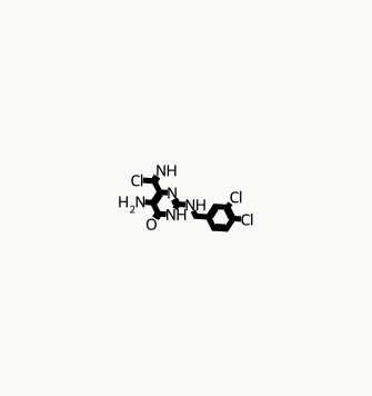 N=C(Cl)c1nc(NCc2ccc(Cl)c(Cl)c2)[nH]c(=O)c1N